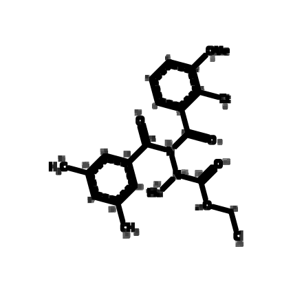 CCc1c(OC)cccc1C(=O)N(C(=O)c1cc(C)cc(C)c1)N(C(=O)OCCl)C(C)(C)C